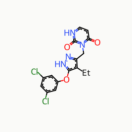 CCc1c(Cn2c(=O)cc[nH]c2=O)n[nH]c1Oc1cc(Cl)cc(Cl)c1